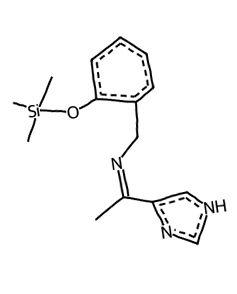 C/C(=N/Cc1ccccc1O[Si](C)(C)C)c1c[nH]cn1